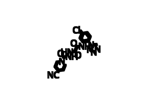 N#CC1CCN(C(=O)NNC(=O)C(=O)Nc2cc(Cl)ccc2-n2cnnn2)CC1